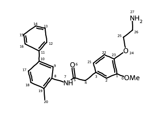 COc1cc(CC(=O)Nc2cc(-c3ccccc3)ccc2C)ccc1OCCN